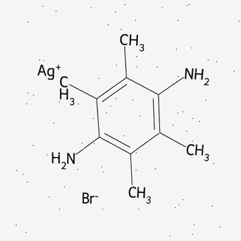 Cc1c(C)c(N)c(C)c(C)c1N.[Ag+].[Br-]